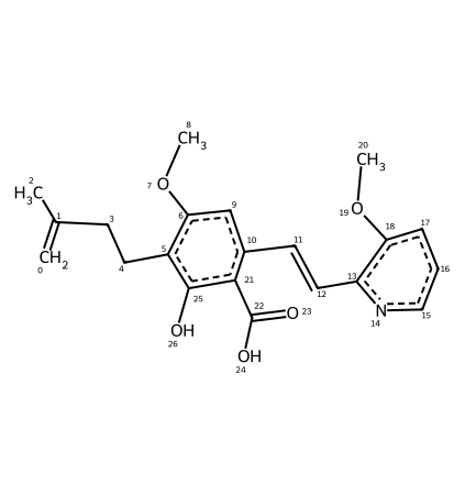 C=C(C)CCc1c(OC)cc(C=Cc2ncccc2OC)c(C(=O)O)c1O